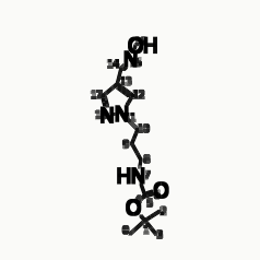 CC(C)(C)OC(=O)NCCCn1cc(/C=N/O)cn1